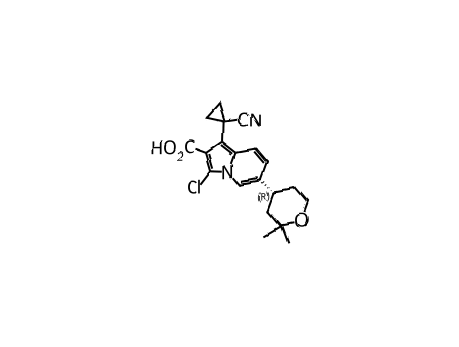 CC1(C)C[C@H](c2ccc3c(C4(C#N)CC4)c(C(=O)O)c(Cl)n3c2)CCO1